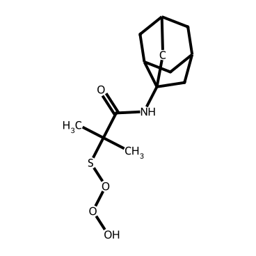 CC(C)(SOOO)C(=O)NC12CC3CC(CC1C3)C2